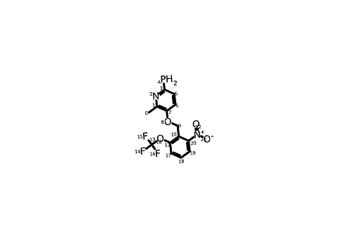 Cc1nc(P)ccc1OCc1c(OC(F)(F)F)cccc1[N+](=O)[O-]